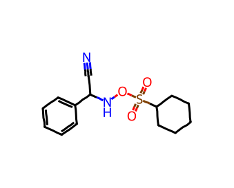 N#CC(NOS(=O)(=O)C1CCCCC1)c1ccccc1